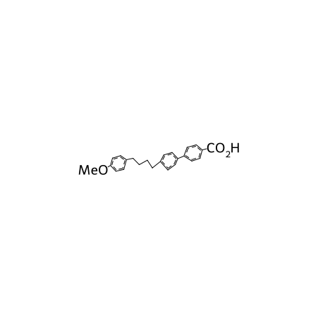 COc1ccc(CCCCc2ccc(-c3ccc(C(=O)O)cc3)cc2)cc1